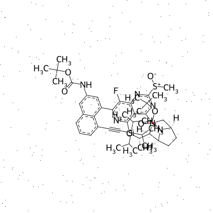 CC(C)[Si](C#Cc1cccc2cc(NC(=O)OC(C)(C)C)cc(-c3nc4c5c(nc([S+](C)[O-])nc5c3F)N3C[C@H]5CC[C@@H]([C@H]3[C@H](C)O4)N5C(=O)OC(C)(C)C)c12)(C(C)C)C(C)C